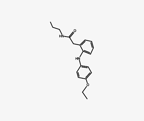 CCCNC(=O)Cc1ccccc1Nc1ccc(OCC)cc1